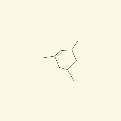 CC1=CC(C)[CH]C(C)C1